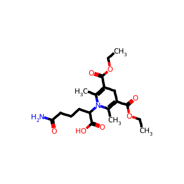 CCOC(=O)C1=C(C)N(C(CCCC(N)=O)C(=O)O)C(C)=C(C(=O)OCC)C1